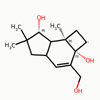 CC1(C)CC2C=C(CO)[C@]3(O)[C]C[C@]3(C)C2[C@H]1O